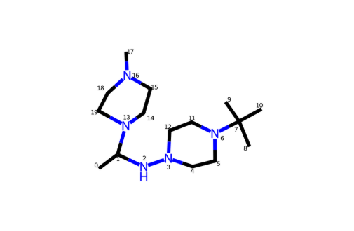 CC(NN1CCN(C(C)(C)C)CC1)N1CCN(C)CC1